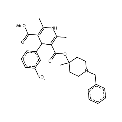 COC(=O)C1=C(C)NC(C)=C(C(=O)OC2(C)CCN(Cc3ccccc3)CC2)C1c1cccc([N+](=O)[O-])c1